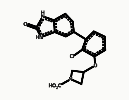 O=C(O)N1CC(Oc2cccc(-c3ccc4[nH]c(=O)[nH]c4c3)c2Cl)C1